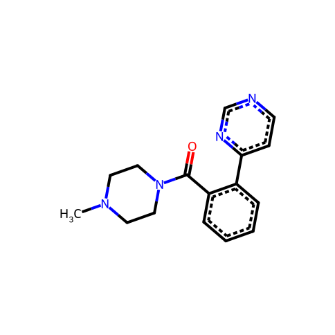 CN1CCN(C(=O)c2ccccc2-c2ccncn2)CC1